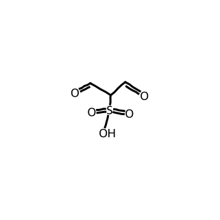 O=CC(C=O)S(=O)(=O)O